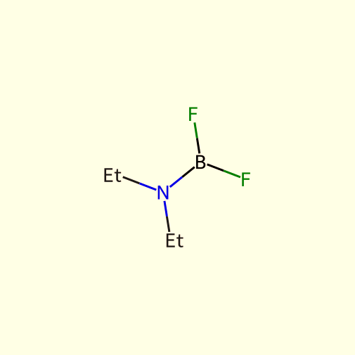 CCN(CC)B(F)F